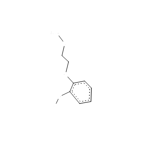 CC(=O)OSCCOc1ccccc1OC(F)(F)F